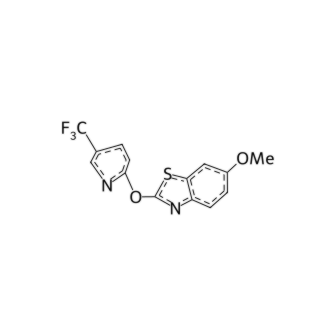 COc1ccc2nc(Oc3ccc(C(F)(F)F)cn3)sc2c1